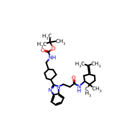 CC(C)=C1CCC(C)(C)C(NC(=O)CCn2c(C3CCC(CNC(=O)OC(C)(C)C)CC3)nc3ccccc32)C1